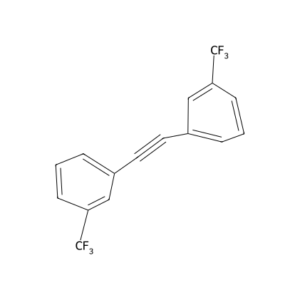 FC(F)(F)c1cccc(C#Cc2cccc(C(F)(F)F)c2)c1